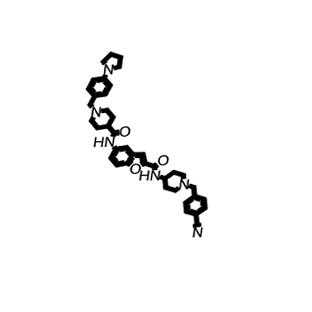 N#Cc1ccc(CN2CCC(NC(=O)c3cc4cc(NC(=O)C5CCN(Cc6ccc(N7CCCC7)cc6)CC5)ccc4o3)CC2)cc1